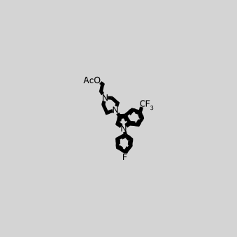 CC(=O)OCCN1CCN(c2cn(-c3ccc(F)cc3)c3ccc(C(F)(F)F)cc23)CC1